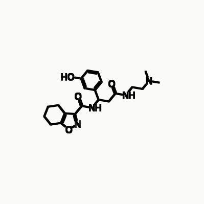 CN(C)CCNC(=O)CC(NC(=O)c1noc2c1CCCC2)c1cccc(O)c1